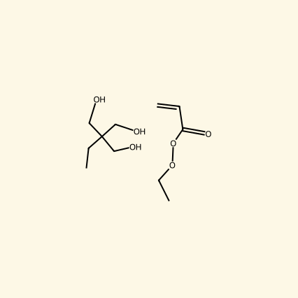 C=CC(=O)OOCC.CCC(CO)(CO)CO